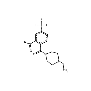 CCN1CCN(C(=O)c2ccc(C(F)(F)F)cc2[N+](=O)[O-])CC1